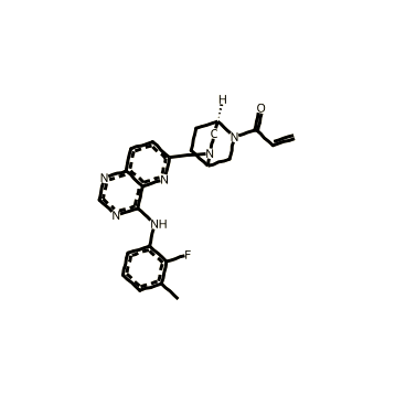 C=CC(=O)N1CC2CC[C@@H]1CN2c1ccc2ncnc(Nc3cccc(C)c3F)c2n1